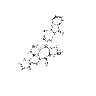 Cl.O=C1c2ccccc2C(=O)N1CC(=O)N1c2ccccc2N(Cc2ccccn2)C(=O)C2CCCC21